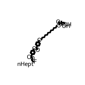 CCCCCCCC(F)COC(=O)c1ccc(OC(=O)c2ccc(OCCCCCCCCCCCCOC(=O)C(C)(CO)CO)cc2)cc1